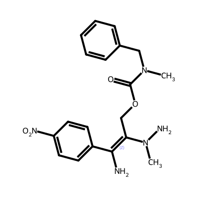 CN(Cc1ccccc1)C(=O)OC/C(=C(/N)c1ccc([N+](=O)[O-])cc1)N(C)N